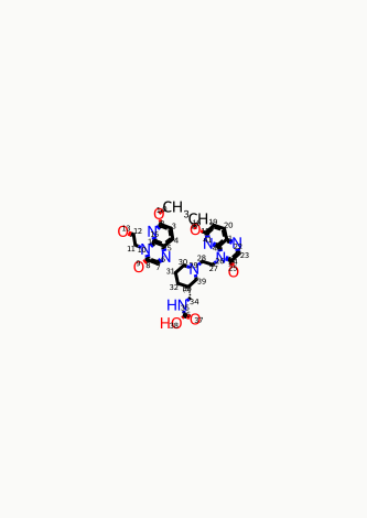 COc1ccc2ncc(=O)n(CC=O)c2n1.COc1ccc2ncc(=O)n(CCN3CCC[C@@H](CNC(=O)O)C3)c2n1